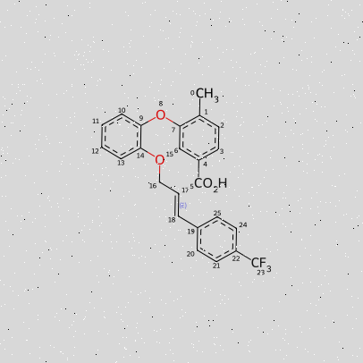 Cc1ccc(C(=O)O)cc1Oc1ccccc1OC/C=C/c1ccc(C(F)(F)F)cc1